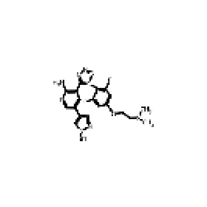 CC(C)n1cc(-c2cnc(N)c(-c3nnnn3-c3c(F)cc(OCCN(C)C)cc3F)c2)cn1